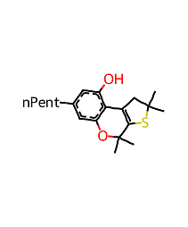 CCCCCc1cc(O)c2c(c1)OC(C)(C)C1=C2CC(C)(C)S1